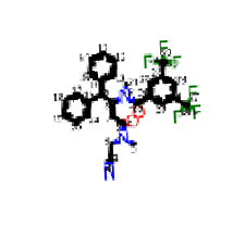 CN(CC#N)C(=O)CC(C(c1ccccc1)c1ccccc1)N(C)C(=O)c1cc(C(F)(F)F)cc(C(F)(F)F)c1